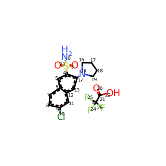 NS(=O)(=O)c1cc2ccc(Cl)cc2cc1N1CCCC1.O=C(O)C(F)(F)F